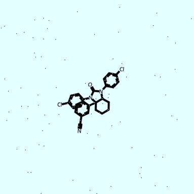 N#Cc1cccc(C23CCCCC2N(c2ccc(Cl)cc2)C(=O)N3c2ccc(Cl)cc2)c1